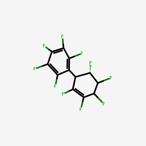 FC1=C(F)C(c2c(F)c(F)c(F)c(F)c2F)[C@H](F)C(F)C1F